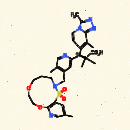 Cc1cnc2c(c1)S(=O)(=O)N(Cc1cc([C@@H](c3ccn4c(C(F)(F)F)nnc4c3C)C(C)(C)C(=O)O)ncc1C)CCCOCCO2